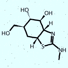 CNC1=N[C@H]2[C@H](O)[C@@H](O)[C@H](CO)C[C@H]2S1